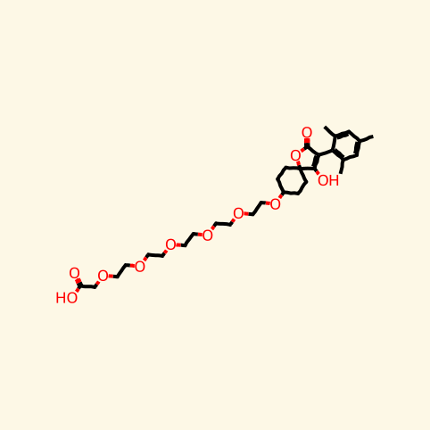 Cc1cc(C)c(C2=C(O)C3(CCC(OCCOCCOCCOCCOCCOCC(=O)O)CC3)OC2=O)c(C)c1